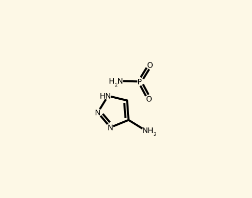 NP(=O)=O.Nc1c[nH]nn1